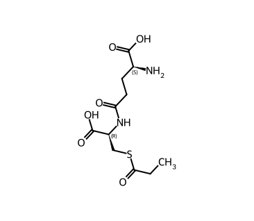 CCC(=O)SC[C@H](NC(=O)CC[C@H](N)C(=O)O)C(=O)O